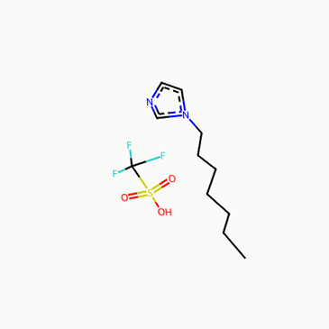 CCCCCCCn1ccnc1.O=S(=O)(O)C(F)(F)F